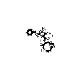 CC(C)C(NC(=O)OCc1ccccc1)C(=O)NC1Cc2cnc(s2)CCNCC1=O